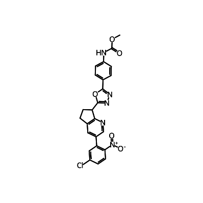 COC(=O)Nc1ccc(-c2nnc(C3CCc4cc(-c5cc(Cl)ccc5[N+](=O)[O-])cnc43)o2)cc1